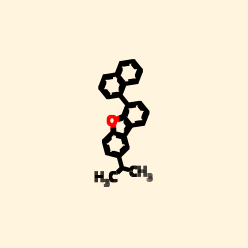 CC(C)c1ccc2oc3c(-c4cccc5ccccc45)cccc3c2c1